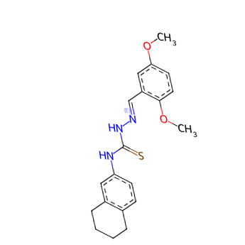 COc1ccc(OC)c(/C=N/NC(=S)Nc2ccc3c(c2)CCCC3)c1